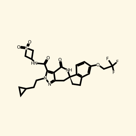 O=C1N[C@@]2(CCc3cc(OCC(F)(F)F)ccc32)Cc2nn(CCC3CC3)c(C(=O)NC3CS(=O)(=O)C3)c21